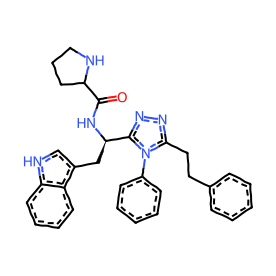 O=C(N[C@H](Cc1c[nH]c2ccccc12)c1nnc(CCc2ccccc2)n1-c1ccccc1)C1CCCN1